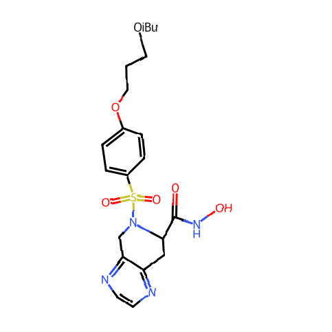 CC(C)COCCCOc1ccc(S(=O)(=O)N2Cc3nccnc3CC2C(=O)NO)cc1